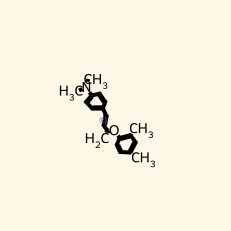 C=C(/C=C/c1ccc(N(C)C)cc1)Oc1ccc(C)cc1C